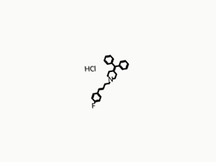 Cl.Fc1ccc(C=CCCN2CCC(=C(c3ccccc3)c3ccccc3)CC2)cc1